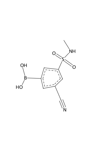 CNS(=O)(=O)c1cc(C#N)cc(B(O)O)c1